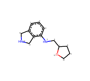 c1cc2c(c(NCC3CCCO3)c1)CNC2